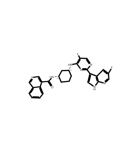 O=C(N[C@H]1CCC[C@@H](Nc2nc(-c3c[nH]c4ncc(F)cc34)ncc2F)C1)c1cncc2ccccc12